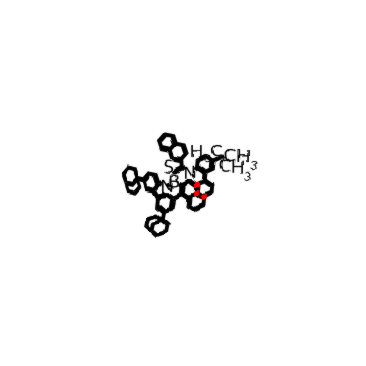 CC(C)(C)c1ccc(N2c3cc4ccccc4c4c3B(c3sc5c(ccc6ccccc65)c32)n2c3ccc(C56CCCC(CCC5)C6)cc3c3cc(C56CCCC(CCC5)C6)cc-4c32)c(-c2ccccc2)c1